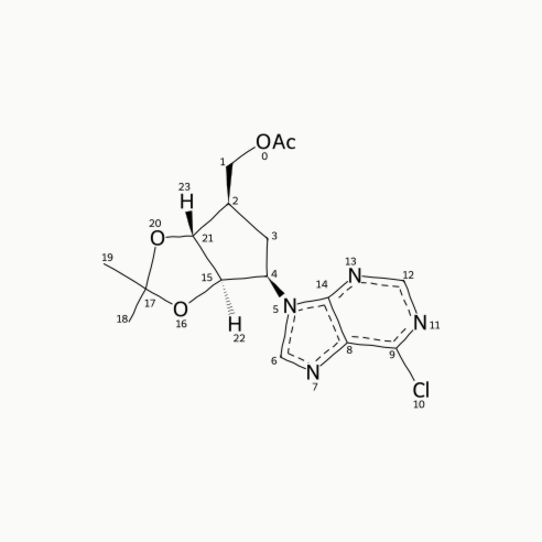 CC(=O)OC[C@H]1C[C@@H](n2cnc3c(Cl)ncnc32)[C@H]2OC(C)(C)O[C@H]12